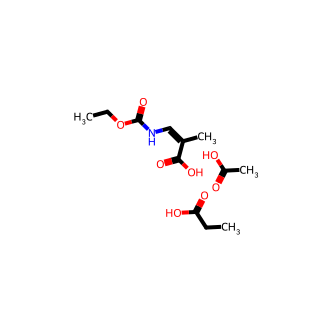 CC(=O)O.CCC(=O)O.CCOC(=O)NC=C(C)C(=O)O